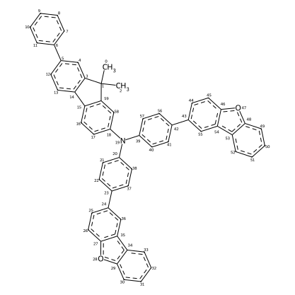 CC1(C)c2cc(-c3ccccc3)ccc2-c2ccc(N(c3ccc(-c4ccc5oc6ccccc6c5c4)cc3)c3ccc(-c4ccc5oc6ccccc6c5c4)cc3)cc21